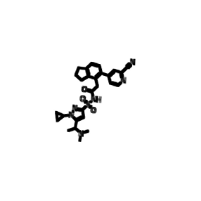 CC(c1cc(S(=O)(=O)NC(=O)Cc2c(-c3ccnc(C#N)c3)ccc3c2CCC3)nn1C1CC1)N(C)C